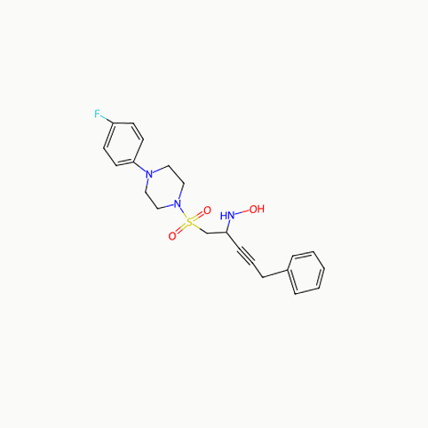 O=S(=O)(CC(C#CCc1ccccc1)NO)N1CCN(c2ccc(F)cc2)CC1